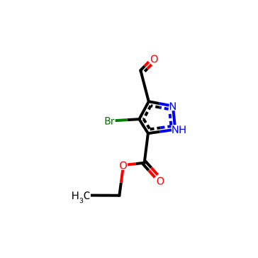 CCOC(=O)c1[nH]nc(C=O)c1Br